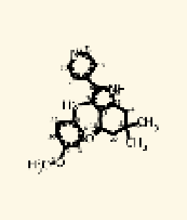 COc1ccc(Nc2c(-c3ccncc3)[nH]c3c2C(=O)CC(C)(C)C3)cc1